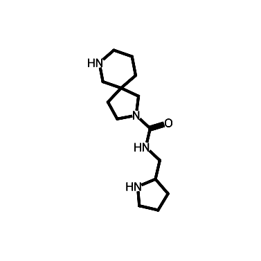 O=C(NCC1CCCN1)N1CCC2(CCCNC2)C1